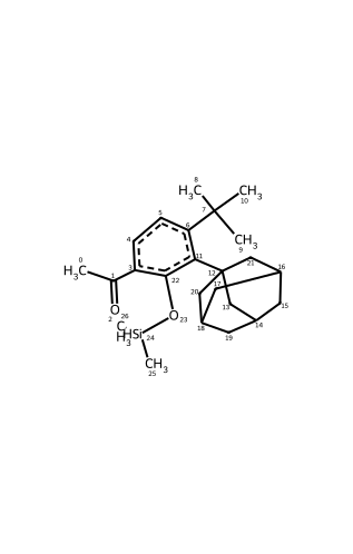 CC(=O)c1ccc(C(C)(C)C)c(C23CC4CC(CC(C4)C2)C3)c1O[SiH](C)C